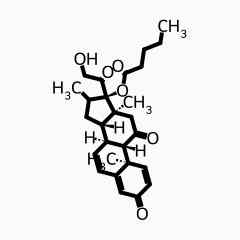 CCCCC(=O)O[C@]1(C(=O)CO)C(C)C[C@H]2[C@@H]3C=CC4=CC(=O)C=C[C@]4(C)[C@H]3C(=O)C[C@@]21C